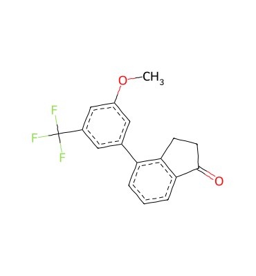 COc1cc(-c2cccc3c2CCC3=O)cc(C(F)(F)F)c1